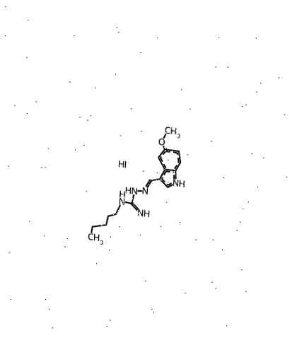 CCCCCNC(=N)NN=Cc1c[nH]c2ccc(OC)cc12.I